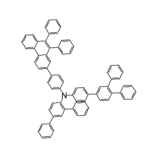 c1ccc(-c2ccc(N(c3ccc(-c4ccc(-c5ccccc5)c(-c5ccccc5)c4)cc3)c3ccc(-c4ccc5c(c4)c(-c4ccccc4)c(-c4ccccc4)c4ccccc45)cc3)c(-c3ccccc3)c2)cc1